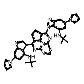 CC(C)(C)Nc1cc(-n2cccc2)cc2c1C(c1nc3ncnc4nc(-n5cnc6cc(-n7cccc7)cc(NC(C)(C)C)c65)c5ccc1c5n34)C=N2